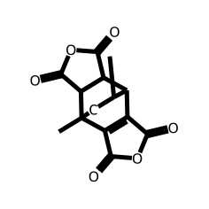 CC1CC2(C)C3=C(C(=O)OC3=O)C1C1C(=O)OC(=O)C12